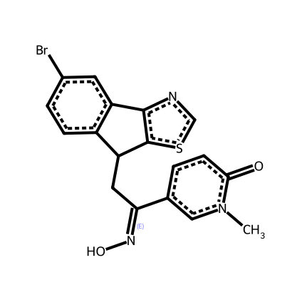 Cn1cc(/C(CC2c3ccc(Br)cc3-c3ncsc32)=N/O)ccc1=O